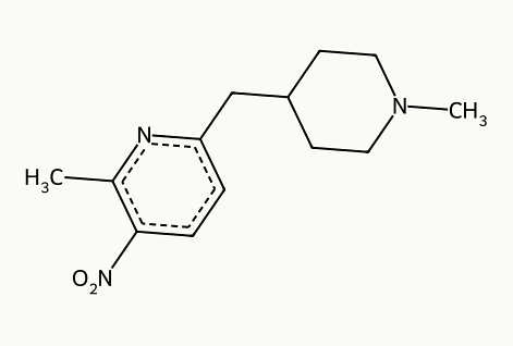 Cc1nc(CC2CCN(C)CC2)ccc1[N+](=O)[O-]